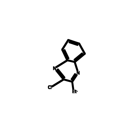 C[CH]c1nc2ccccc2nc1Cl